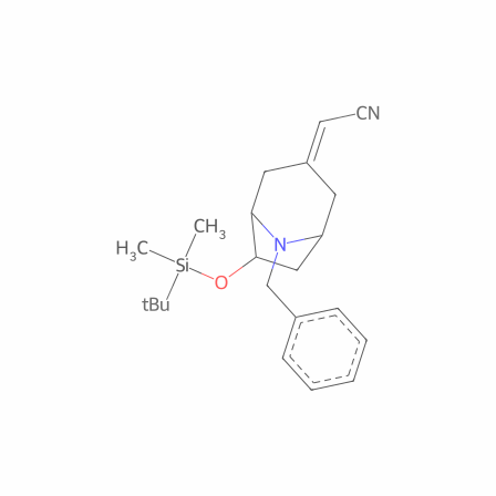 CC(C)(C)[Si](C)(C)OC1CC2CC(=CC#N)CC1N2Cc1ccccc1